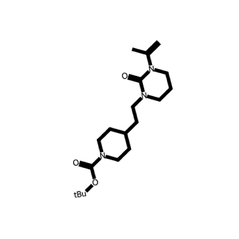 C=C(C)N1CCCN(CCC2CCN(C(=O)OC(C)(C)C)CC2)C1=O